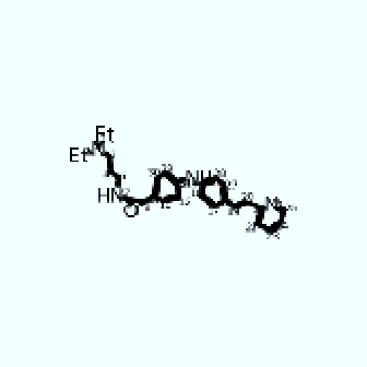 CCN(CC)CCCNC1OC1c1ccc(Nc2ccc(/C=C/c3ccccn3)cc2)cc1